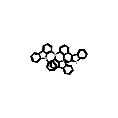 c1ccc(-n2c3ccccc3c3cccc(N(c4cccc5c4ccc4sc6ccccc6c45)c4cccc5c4oc4ccccc45)c32)cc1